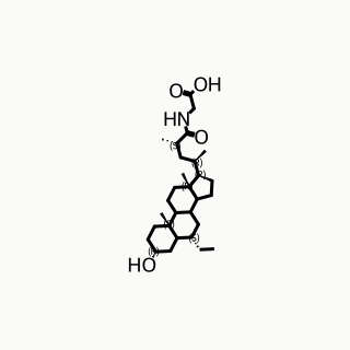 CC[C@H]1CC2C(CC[C@@]3(C)C2CC[C@@H]3[C@H](C)C[C@H](C)C(=O)NCC(=O)O)[C@@]2(C)CC[C@@H](O)CC12